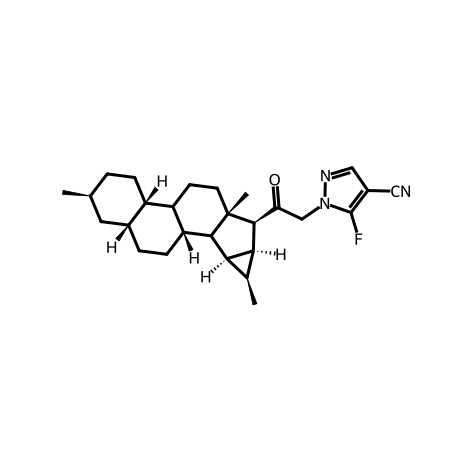 C[C@H]1CC[C@@H]2C3CC[C@@]4(C)C([C@@H]3CC[C@@H]2C1)[C@@H]1[C@H](C)[C@@H]1[C@@H]4C(=O)Cn1ncc(C#N)c1F